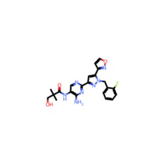 CC(C)(CO)C(=O)Nc1cnc(-c2cc(-c3ccon3)n(Cc3ccccc3F)n2)nc1N